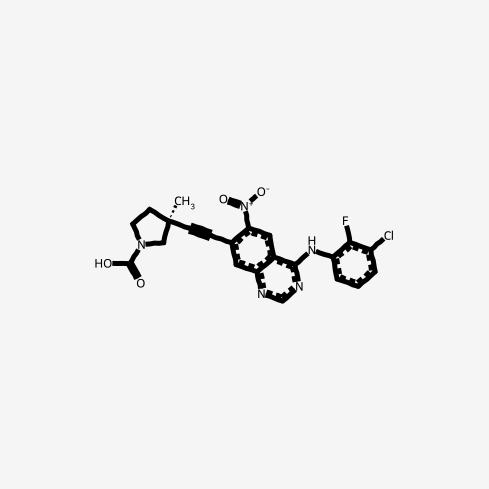 C[C@@]1(C#Cc2cc3ncnc(Nc4cccc(Cl)c4F)c3cc2[N+](=O)[O-])CCN(C(=O)O)C1